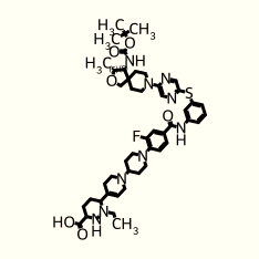 CCN1NC(C(=O)O)CCC1C1=CCN(C2CCN(c3ccc(C(=O)Nc4cccc(Sc5cnc(N6CCC7(CC6)CO[C@@H](C)[C@H]7NC(=O)OC(C)(C)C)cn5)c4)cc3F)CC2)CC1